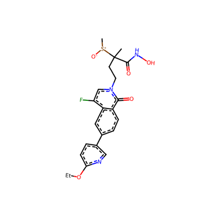 CCOc1ccc(-c2ccc3c(=O)n(CCC(C)(C(=O)NO)[S+](C)[O-])cc(F)c3c2)cn1